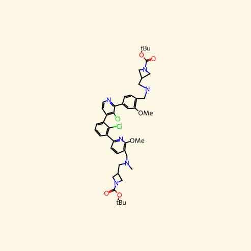 COc1cc(-c2nccc(-c3cccc(-c4ccc(CN(C)CC5CN(C(=O)OC(C)(C)C)C5)c(OC)n4)c3Cl)c2Cl)ccc1CN(C)CC1CN(C(=O)OC(C)(C)C)C1